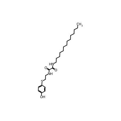 CCCCCCCCCCCCCCNC(=O)C(=O)NCCSc1ccc(O)cc1